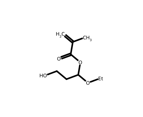 C=C(C)C(=O)OC(CCO)OCC